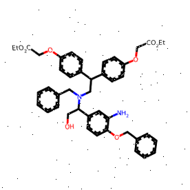 CCOC(=O)COc1ccc(C(CN(Cc2ccccc2)C(CO)c2ccc(OCc3ccccc3)c(N)c2)c2ccc(OCC(=O)OCC)cc2)cc1